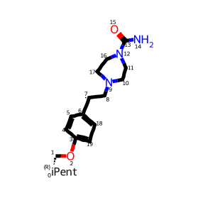 CCC[C@@H](C)COc1ccc([CH]CN2CCN(C(N)=O)CC2)cc1